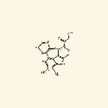 O=C(CO)N1CCc2[nH]c3c(Cl)c(Cl)cc(C4=C(F)C=CCC4)c3c2C1